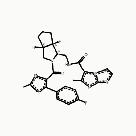 Cc1nc(C(=O)N2C[C@@H]3CCC[C@@H]3[C@H]2CNC(=O)c2c(C)nc3sccn23)c(-c2ccc(F)cc2)s1